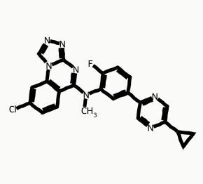 CN(c1cc(-c2cnc(C3CC3)cn2)ccc1F)c1nc2nncn2c2cc(Cl)ccc12